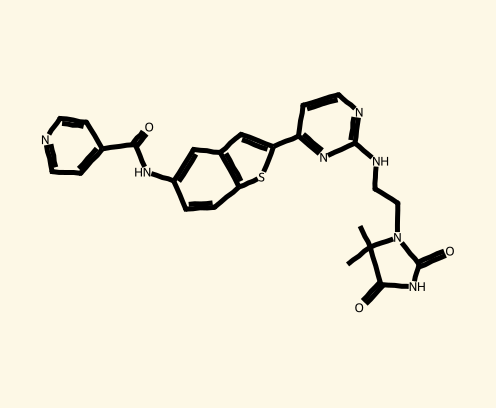 CC1(C)C(=O)NC(=O)N1CCNc1nccc(-c2cc3cc(NC(=O)c4ccncc4)ccc3s2)n1